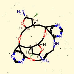 N[C@@H]1O[C@@H]2COC34C[C@H]5[C@@H](F)[C@H](N)O[C@@H]5COC5(C[C@H]2[C@H]1F)c1ncnc(c15)OC/C=C/CNc1ncnc3c14